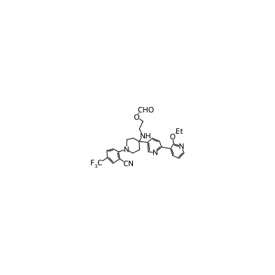 CCOc1ncccc1-c1ccc(C2(NCCOC=O)CCN(c3ccc(C(F)(F)F)cc3C#N)CC2)cn1